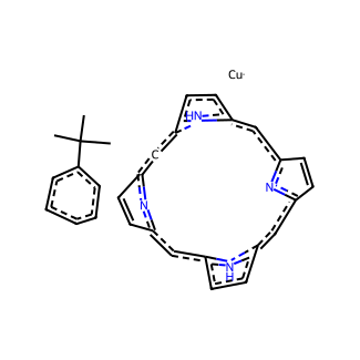 C1=Cc2cc3ccc(cc4nc(cc5ccc(cc1n2)[nH]5)C=C4)[nH]3.CC(C)(C)c1ccccc1.[Cu]